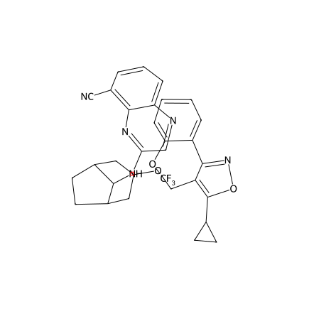 N#Cc1cccc2ncc(NC3C4CCC3CC(OCc3c(-c5ccccc5OC(F)(F)F)noc3C3CC3)C4)nc12